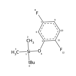 CC(C)(C)[Si](C)(C)Oc1cc(F)ccc1F